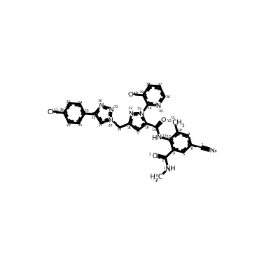 CNC(=O)c1cc(C#N)cc(C)c1NC(=O)c1cc(Cn2cc(-c3ccc(Cl)cc3)nn2)nn1-c1ncccc1Cl